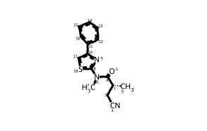 C[C@H](CC#N)C(=O)N(C)c1nc(-c2ccccc2)cs1